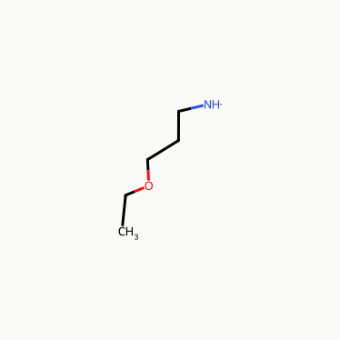 CCOCCC[NH]